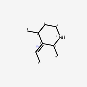 C/C=C1/C(C)CCNC1C